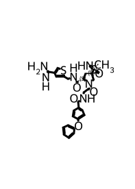 C[S@](=N)(=O)[C@@H]1C[C@@H](C(=O)NCc2cc(C(=N)N)cs2)N(C(=O)CNC(=O)c2ccc(Oc3ccccc3)cc2)C1